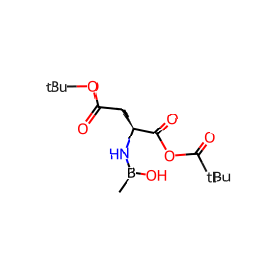 CB(O)N[C@@H](CC(=O)OC(C)(C)C)C(=O)OC(=O)C(C)(C)C